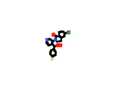 O=C1c2ccc(Cl)cc2CCN1c1cnccc1C(O)c1ccc(F)cc1